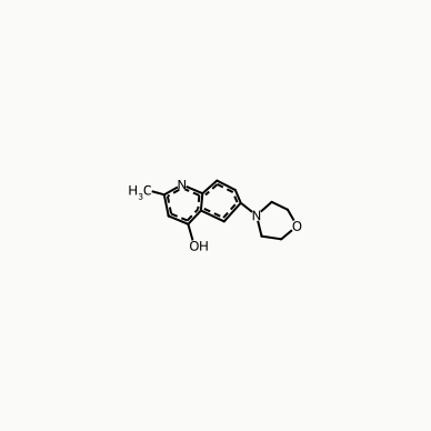 Cc1cc(O)c2cc(N3CCOCC3)ccc2n1